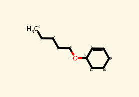 CCCCCOC1C=CCCC1